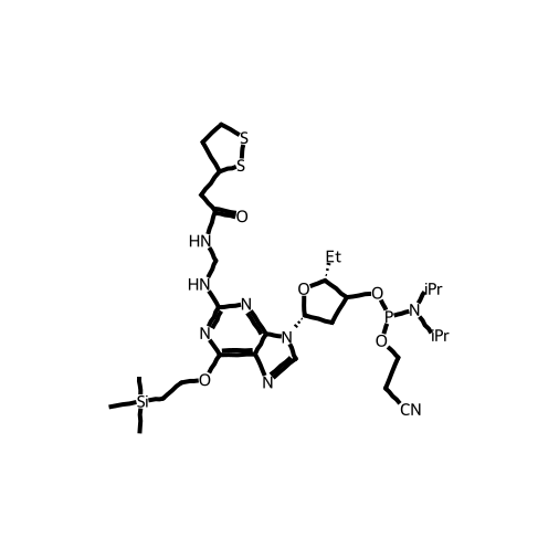 CC[C@H]1O[C@@H](n2cnc3c(OCC[Si](C)(C)C)nc(NCNC(=O)CC4CCSS4)nc32)CC1OP(OCCC#N)N(C(C)C)C(C)C